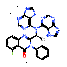 CC[C@@H](c1nc2cccc(F)c2c(=O)n1-c1ccccc1)N(c1ncnc2nc[nH]c12)c1ncnc2nc[nH]c12